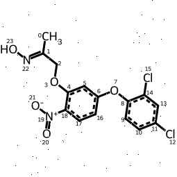 CC(COc1cc(Oc2ccc(Cl)cc2Cl)ccc1[N+](=O)[O-])=NO